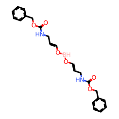 O=C(NCC=COBOC=CCNC(=O)OCc1ccccc1)OCc1ccccc1